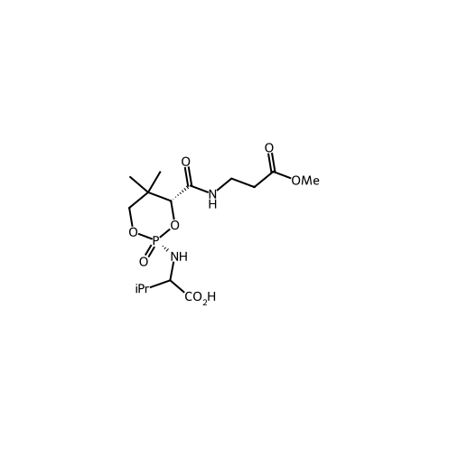 COC(=O)CCNC(=O)[C@@H]1O[P@](=O)(NC(C(=O)O)C(C)C)OCC1(C)C